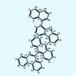 c1ccc2c(-c3cccc4c3oc3cccc(-c5c6ccccc6c(-c6cc7ccccc7c7ccccc67)c6ccccc56)c34)cccc2c1